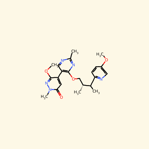 COc1ccc(C(C)[C@H](C)COc2nc(C)ncc2-c2cc(=O)n(C)nc2OC)nc1